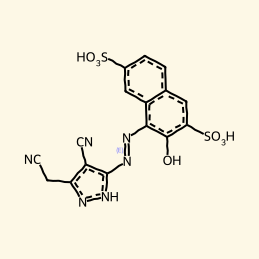 N#CCc1n[nH]c(/N=N/c2c(O)c(S(=O)(=O)O)cc3ccc(S(=O)(=O)O)cc23)c1C#N